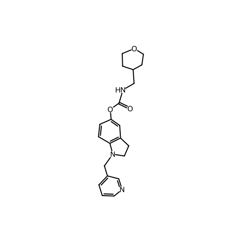 O=C(NCC1CCOCC1)Oc1ccc2c(c1)CCN2Cc1cccnc1